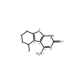 CC1CCCc2sc3[nH]c(=S)nc(N)c3c21